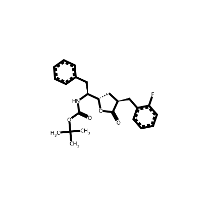 CC(C)(C)OC(=O)N[C@@H](Cc1ccccc1)[C@@H]1C[C@@H](Cc2ccccc2F)C(=O)O1